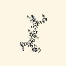 Cc1c(COc2cc(OCc3cncc(C#N)c3)c(CNC/C(N)=N/N)cc2Cl)cccc1-c1cccc(COc2cc(OCc3cncc(C#N)c3)c(CNC/C(=N/N)NN)cc2Cl)c1C